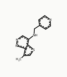 Cc1csc2c(NCc3ccncc3)cnnc12